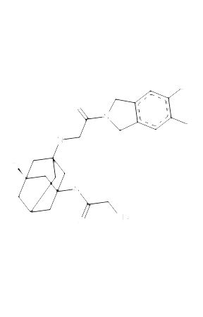 CC(C)(C)CC(=O)NC12C[C@@H]3C[C@@H](CC(NCC(=O)N4Cc5cc(F)c(F)cc5C4)(C3)C1)C2